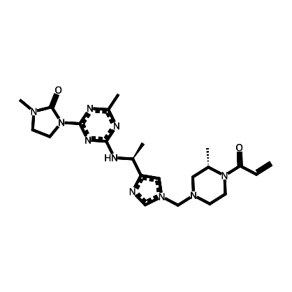 C=CC(=O)N1CCN(Cn2cnc([C@H](C)Nc3nc(C)nc(N4CCN(C)C4=O)n3)c2)C[C@@H]1C